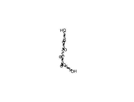 O=C(CSCC[S+]([O-])CSCSC(=O)CSCCOOCSCCSCO)OCSCCSCO